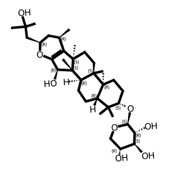 C[C@@H]1C[C@H](CC(C)(C)O)OC2=C1[C@@]1(C)CC[C@@]34C[C@@]35CC[C@H](O[C@@H]3OC[C@@H](O)[C@H](O)[C@H]3O)C(C)(C)[C@@H]5CC[C@H]4[C@]1(C)[C@H]2O